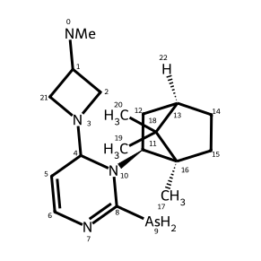 CNC1CN(C2C=CN=C([AsH2])N2[C@H]2C[C@H]3CC[C@]2(C)C3(C)C)C1